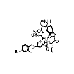 C=CC[C@H](NC(=O)[C@@H]1C[C@@H](OCc2ccc(Br)cc2F)CN1C(=O)[C@@H](CCC1CCNCC1)NS(C)(=O)=O)C(=O)c1nc2ccccc2o1